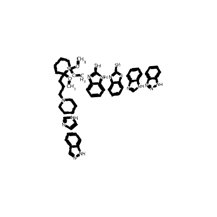 COC1(CCCN2CCCCC2)CCCC[Si]1(OC)OC.Sc1nc2ccccc2[nH]1.Sc1nc2ccccc2s1.c1c[nH]cn1.c1ccc2[nH]cnc2c1.c1ccc2[nH]ncc2c1.c1ccc2[nH]nnc2c1